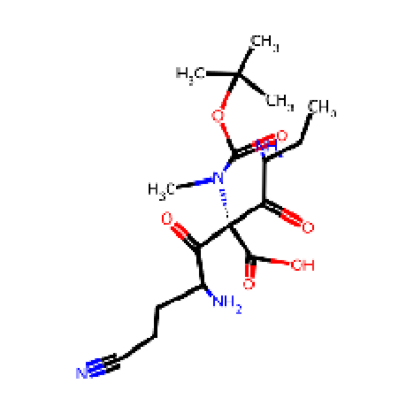 CCC(N)C(=O)[C@@](C(=O)O)(C(=O)C(N)CCC#N)N(C)C(=O)OC(C)(C)C